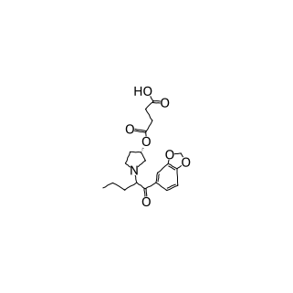 CCCC(C(=O)c1ccc2c(c1)OCO2)N1CC[C@H](OC(=O)CCC(=O)O)C1